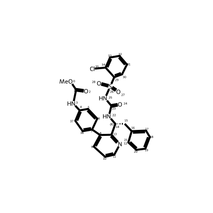 COC(=O)Nc1ccc(-c2cccnc2[C@@H](Cc2ccccc2)NC(=O)NS(=O)(=O)c2ccccc2Cl)cc1